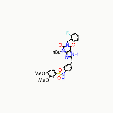 CCCCn1c(=O)n(Cc2ccccc2F)c(=O)c2[nH]c(Cc3ccc(NS(=O)(=O)c4ccc(OC)c(OC)c4)cc3)nc21